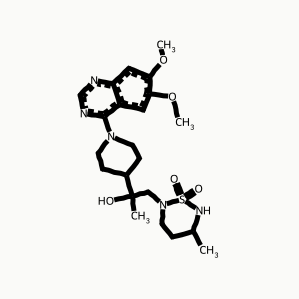 COc1cc2ncnc(N3CCC(C(C)(O)CN4CCC(C)NS4(=O)=O)CC3)c2cc1OC